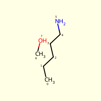 CCCCCN.CO